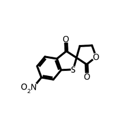 O=C1OCCC12Sc1cc([N+](=O)[O-])ccc1C2=O